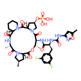 Cc1cc(NC(=O)N[C@@H](Cc2cc(F)cc(F)c2)C(=O)N[C@@H]2C(=O)N3C[C@H](OP(=O)(O)O)C[C@H]3C(=O)N3CCCC[C@H]3C(=O)N[C@@H](C)C(=O)N3C[C@H](C)C[C@H]3C(=O)O[C@H]2C)no1